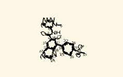 Cn1nnnc1NC(=O)c1cc2cncnc2c(-c2ccc(S(C)(=O)=O)cc2)c1Cl